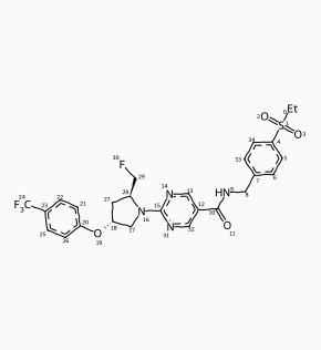 CCS(=O)(=O)c1ccc(CNC(=O)c2cnc(N3C[C@H](Oc4ccc(C(F)(F)F)cc4)C[C@H]3CF)nc2)cc1